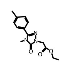 CCOC(=O)Cn1nc(-c2ccc(C)cc2)n(C)c1=O